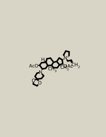 C=CC[N+]1([C@H]2CC3C4CC[C@H]5C[C@H](OC(C)=O)[C@@H](N6CCC7(CC6)OCCO7)C[C@]5(C)C4CC[C@]3(C)[C@H]2OC(C)=O)CCCC1